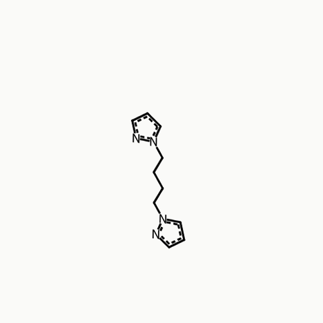 c1cnn(CCCCn2cccn2)c1